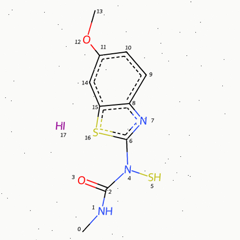 CNC(=O)N(S)c1nc2ccc(OC)cc2s1.I